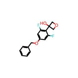 OC1(c2c(F)cc(OCc3ccccc3)cc2F)COC1